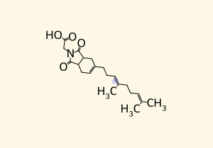 CC(C)=CCC/C(C)=C/CCC1=CCC2C(=O)N(CC(=O)O)C(=O)C2C1